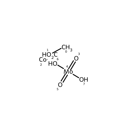 CC(=O)O.[Co].[O]=[Mo](=[O])([OH])[OH]